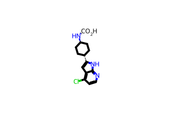 O=C(O)N[C@H]1CC[C@H](c2cc3c(Cl)ccnc3[nH]2)CC1